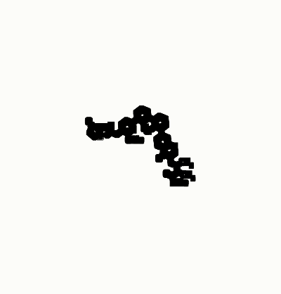 CNC(=O)C(C)N(C)Cc1cnc2cc(-c3cccc(-c4cccc(-c5ccc(CNC[C@@H]6CCC(=O)N6)c(OC)n5)c4Cl)c3Cl)ccn2c1=O